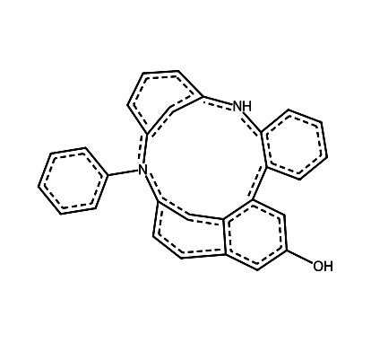 Oc1cc2ccc3cc2c(c1)c1ccccc1[nH]c1cccc(c1)n3-c1ccccc1